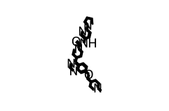 CN1CCC(COc2ccc3c(C4CCN(C(=O)Nc5ccc(N6CCCC6)nc5)CC4)ncnc3c2)CC1